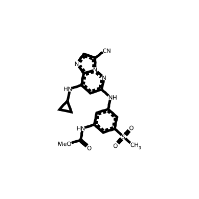 COC(=O)Nc1cc(Nc2cc(NC3CC3)c3ncc(C#N)n3n2)cc(S(C)(=O)=O)c1